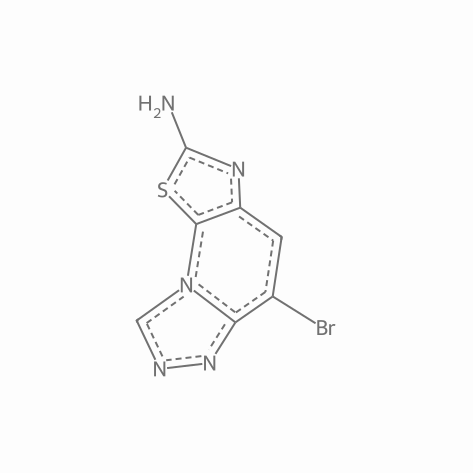 Nc1nc2cc(Br)c3nncn3c2s1